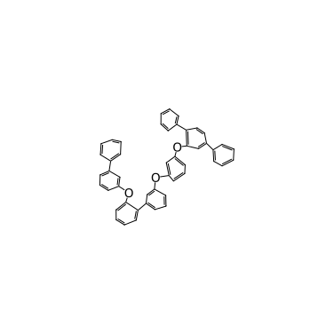 c1ccc(-c2cccc(Oc3ccccc3-c3cccc(Oc4cccc(Oc5cc(-c6ccccc6)ccc5-c5ccccc5)c4)c3)c2)cc1